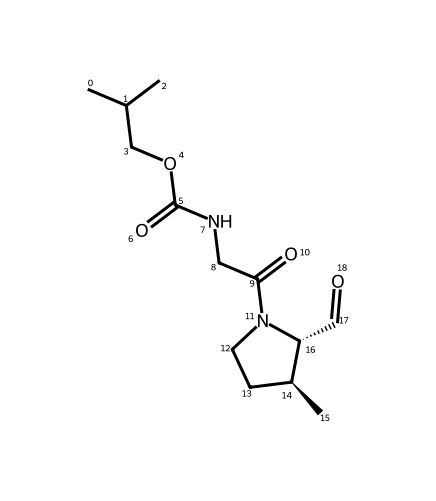 CC(C)COC(=O)NCC(=O)N1CC[C@H](C)[C@H]1C=O